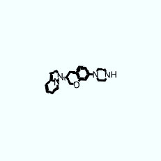 C1=CC2=CCN([C@H]3COc4cc(N5CCNCC5)ccc4C3)N2C=C1